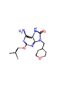 CC(C)COc1nc(N)c2[nH]c(=O)n(CC3CCOCC3)c2n1